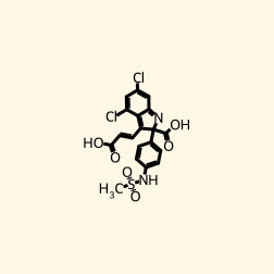 CS(=O)(=O)Nc1ccc(C2(C(=O)O)N=c3cc(Cl)cc(Cl)c3=C2C=CC(=O)O)cc1